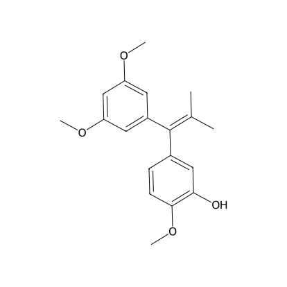 COc1cc(OC)cc(C(=C(C)C)c2ccc(OC)c(O)c2)c1